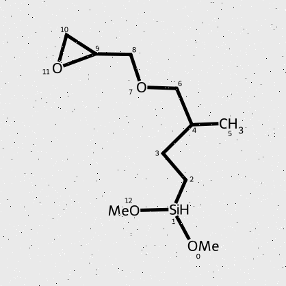 CO[SiH](CCC(C)COCC1CO1)OC